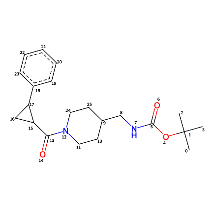 CC(C)(C)OC(=O)NCC1CCN(C(=O)C2CC2c2ccccc2)CC1